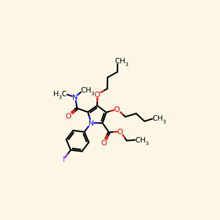 CCCCOc1c(OCCCC)c(C(=O)N(C)C)n(-c2ccc(I)cc2)c1C(=O)OCC